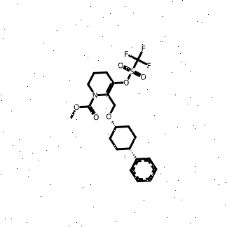 COC(=O)N1CCCC(OS(=O)(=O)C(F)(F)F)=C1CO[C@H]1CC[C@@H](c2ccccc2)CC1